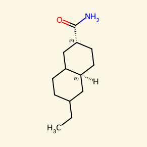 CCC1CCC2C[C@H](C(N)=O)CC[C@H]2C1